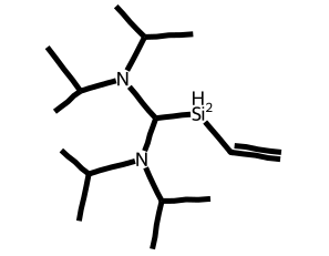 C=C[SiH2]C(N(C(C)C)C(C)C)N(C(C)C)C(C)C